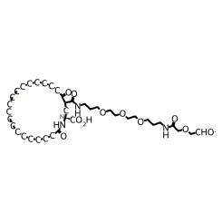 O=[C]COCC(=O)NCCCOCCOCCOCCCNC(=O)C1C[C@@H](C(=O)O)NC(=O)CCCCCCCCCCCCCCCCCCC1=O